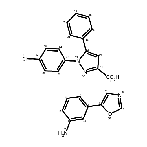 Nc1cccc(-c2cnco2)c1.O=C(O)c1cc(-c2ccccc2)n(-c2ccc(Cl)cc2)n1